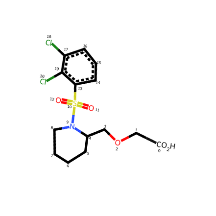 O=C(O)COCC1CCCCN1S(=O)(=O)c1cccc(Cl)c1Cl